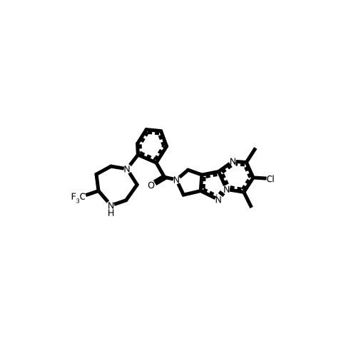 Cc1nc2c3c(nn2c(C)c1Cl)CN(C(=O)c1ccccc1N1CCNC(C(F)(F)F)CC1)C3